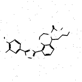 CC(C)Oc1ccc(-c2nc(-c3cccc4c3OCCN(C(=O)OC(C)(C)C)C4CCCC(=O)O)no2)cc1Cl